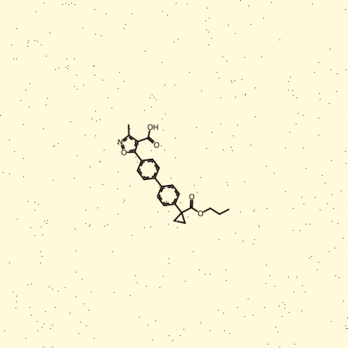 CCCOC(=O)C1(c2ccc(-c3ccc(-c4onc(C)c4C(=O)O)cc3)cc2)CC1